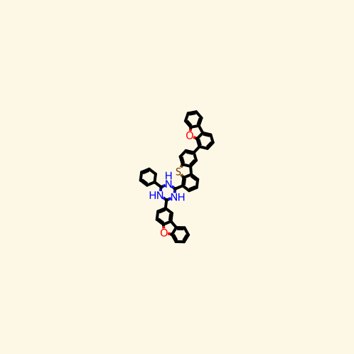 C1=CCC(C2NC(c3ccc4oc5ccccc5c4c3)NC(c3cccc4c3sc3ccc(-c5cccc6c5oc5ccccc56)cc34)N2)C=C1